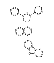 c1ccc(-c2cc(-c3ccc(-c4ccc5oc6ccccc6c5c4)c4ccccc34)cc(-c3ccccc3)n2)cc1